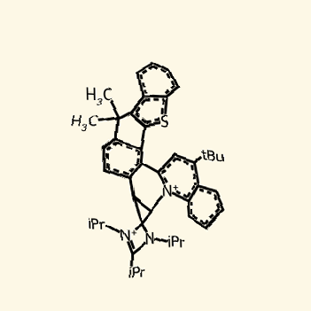 CC(C)C1=[N+](C(C)C)C2(C3c4ccc5c(c4-c4cc(C(C)(C)C)c6ccccc6[n+]4C32)-c2sc3ccccc3c2C5(C)C)N1C(C)C